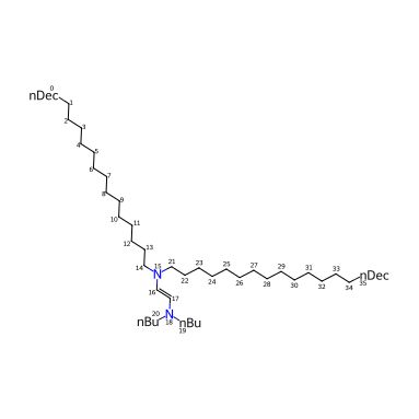 CCCCCCCCCCCCCCCCCCCCCCCCN(C=CN(CCCC)CCCC)CCCCCCCCCCCCCCCCCCCCCCCC